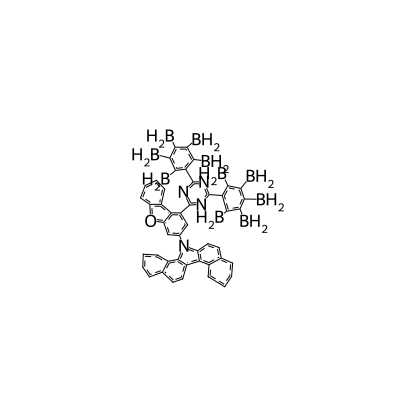 Bc1c(B)c(B)c(-c2nc(-c3c(B)c(B)c(B)c(B)c3B)nc(-c3cc(-n4c5ccc6ccccc6c5c5ccc6ccccc6c54)cc4oc5ccccc5c34)n2)c(B)c1B